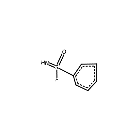 N=S(=O)(F)c1ccccc1